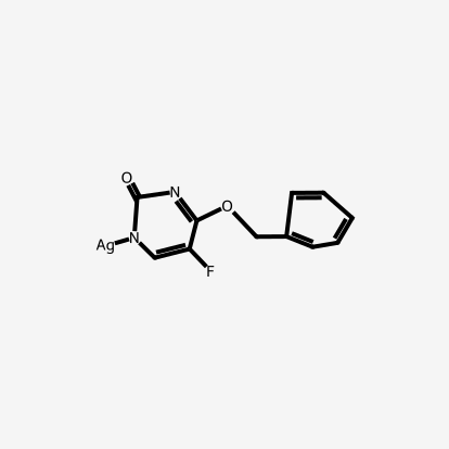 O=c1nc(OCc2ccccc2)c(F)c[n]1[Ag]